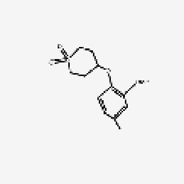 COc1cc(C)ccc1OC1CCS(=O)(=O)CC1